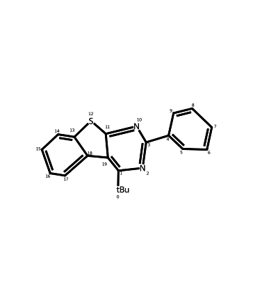 CC(C)(C)c1nc(-c2ccccc2)nc2sc3ccccc3c12